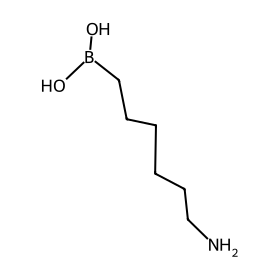 NCCCCCCB(O)O